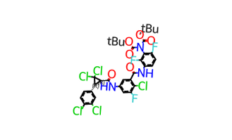 CC(C)(C)OC(=O)N(C(=O)OC(C)(C)C)c1c(F)ccc(NC(=O)c2cc(NC(=O)[C@H]3[C@H](c4ccc(Cl)c(Cl)c4)C3(Cl)Cl)cc(F)c2Cl)c1F